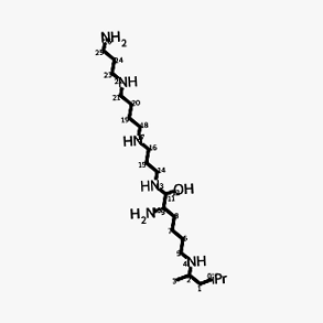 CC(C)CC(C)NCCCC[C@@H](N)C(O)NCCCNCCCCNCCCN